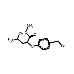 COC(=O)C(CC(C)C)Oc1ccc(CBr)cc1